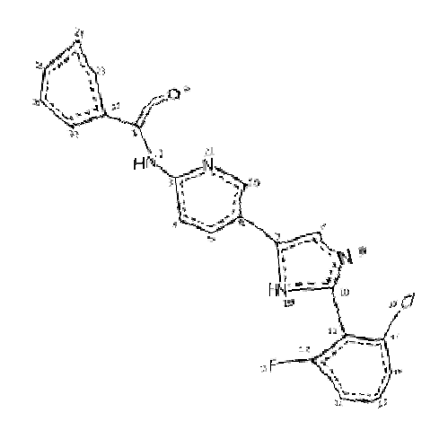 O=C(Nc1ccc(-c2cnc(-c3c(F)cccc3Cl)[nH]2)cn1)c1ccccc1